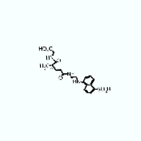 C[C@@H](CCC(=O)NCCNc1cccc2c(S(=O)(=O)O)cccc12)C(=O)NCC(=O)O